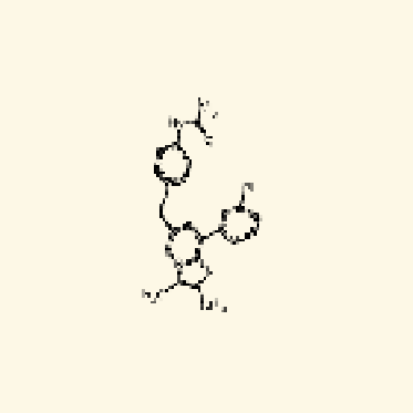 Cc1nc2c(-c3cccc(Cl)c3)cc(Cc3ccc(NC(N)=O)cc3)cn2c1C